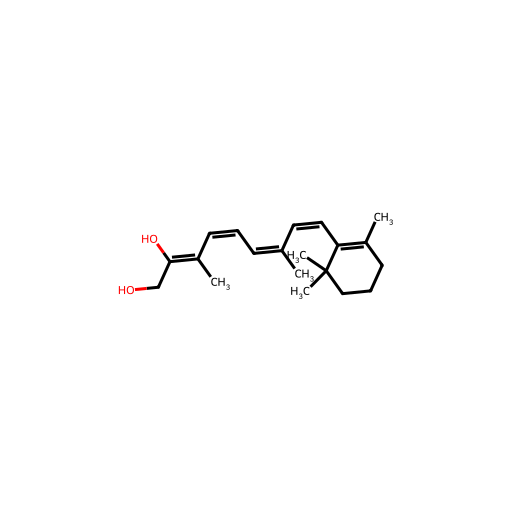 CC1=C(\C=C/C(C)=C\C=C/C(C)=C(\O)CO)C(C)(C)CCC1